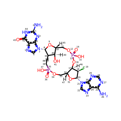 Nc1nc2c(ncn2[C@@H]2O[C@@H]3COP(=O)(O)O[C@H]4[C@@H](F)[C@H](n5cnc6c(N)ncnc65)O[C@@H]4COP(=O)(O)C[C@@H]2[C@@H]3O)c(=O)[nH]1